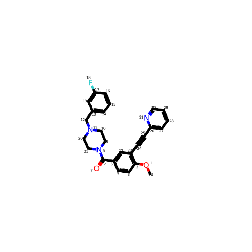 COc1ccc(C(=O)N2CCN(Cc3cccc(F)c3)CC2)cc1C#Cc1ccccn1